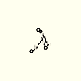 N[C@@H](CCCCNC(=O)OCc1ccccc1)C(=O)N(CCCN1C(=O)c2ccccc2C1=O)CCCN1C(=O)c2ccccc2C1=O